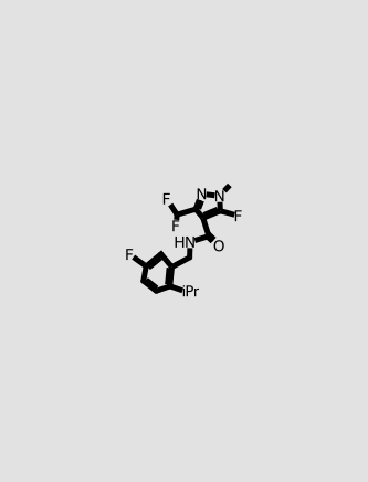 CC(C)c1ccc(F)cc1CNC(=O)c1c(C(F)F)nn(C)c1F